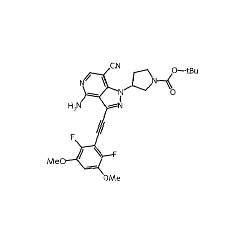 COc1cc(OC)c(F)c(C#Cc2nn(C3CCN(C(=O)OC(C)(C)C)C3)c3c(C#N)cnc(N)c23)c1F